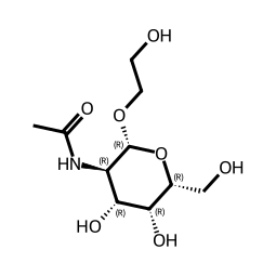 CC(=O)N[C@H]1[C@H](OCCO)O[C@H](CO)[C@H](O)[C@@H]1O